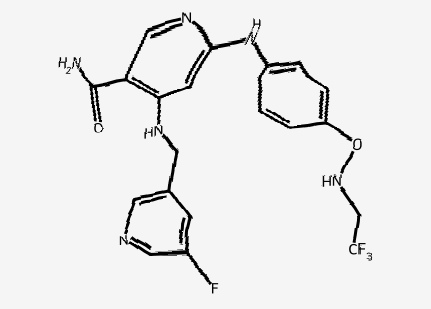 NC(=O)c1cnc(Nc2ccc(ONCC(F)(F)F)cc2)cc1NCc1cncc(F)c1